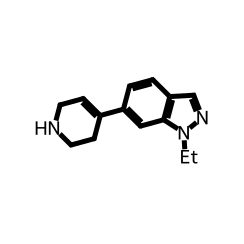 CCn1ncc2ccc(C3=CCNCC3)cc21